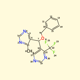 Cc1ncncc1C(OCc1ccccc1)c1cncnc1C(F)(F)F